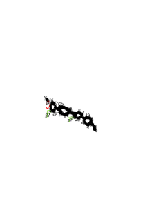 C=CC1CCC(c2ccc(-c3ccc(-c4ccc(OCC)c(F)c4)cc3)c(F)c2)CC1